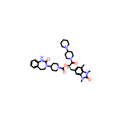 Cc1cc(C[C@@H](OC(=O)N2CCC(N3CCc4ccccc4NC3=O)CC2)C(=O)N2CCC(N3CCCCC3)CC2)cc2c1n(C)c(=O)n2C